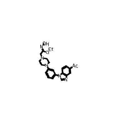 CCOC(CN1CCN(c2cccc(-n3cnc4cc(C(C)=O)ccc43)c2)CC1)=NO